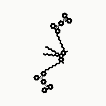 CCCCCCCCC1(CCCCCCCC)c2cc(CCCCCCCCc3ccc(N(c4ccccc4)c4ccc(-n5c6ccccc6c6ccccc65)cc4)cc3)c(C)cc2-c2cc(C)c(CCCCCCCCc3ccc4c(c3)c3ccccc3n4-c3ccc(-n4c5ccccc5c5ccccc54)cc3)cc21